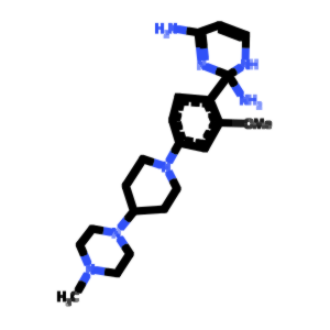 COc1cc(N2CCC(N3CCN(C)CC3)CC2)ccc1C1(N)N=C(N)C=CN1